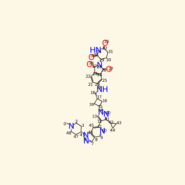 CN1CCC(n2ncc3cnc(-c4cn([C@H]5C[C@H](CNc6ccc7c(c6)C(=O)N(C6CCC(=O)NC6=O)C7=O)C5)nc4C4CC4)cc32)CC1